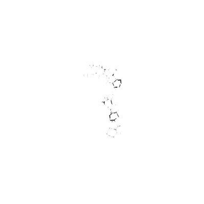 CNC(=O)C(CCC=O)N1Cc2c(OC/C(=C/Nc3ccc(OC4CCOCC4)cc3)N=N)cccc2C1=O